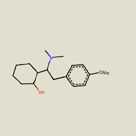 COc1ccc(CC(C2CCCCC2O)N(C)C)cc1